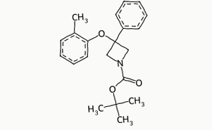 Cc1ccccc1OC1(c2ccccc2)CN(C(=O)OC(C)(C)C)C1